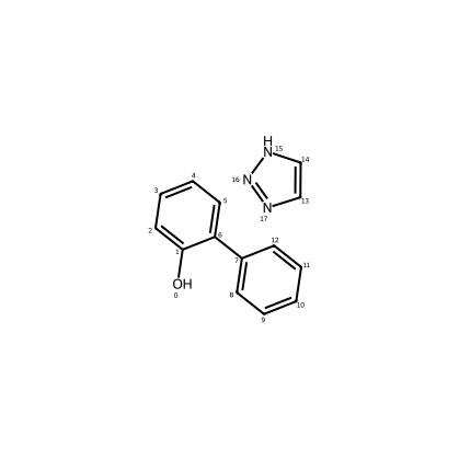 Oc1ccccc1-c1ccccc1.c1c[nH]nn1